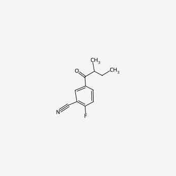 CCC(C)C(=O)c1ccc(F)c(C#N)c1